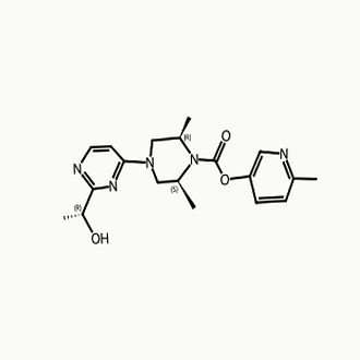 Cc1ccc(OC(=O)N2[C@H](C)CN(c3ccnc([C@@H](C)O)n3)C[C@@H]2C)cn1